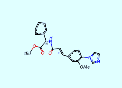 COc1cc(/C=C/C(=O)N[C@H](C(=O)OC(C)(C)C)c2ccccc2)ccc1-n1ccnc1